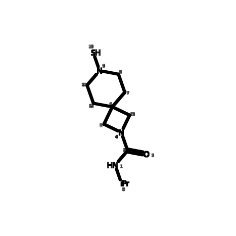 CC(C)NC(=O)N1CC2(CCN(S)CC2)C1